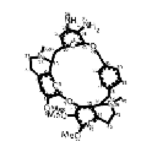 COc1cc2c3cc1Oc1c(OC)c(OC)cc4c1C(Cc1ccc(cc1)Oc1cc(cc(N)c1N)CC3N(C)CC2)N(C)CC4